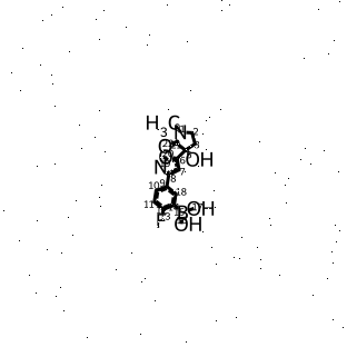 CN1CC[C@@](O)(c2cc(-c3ccc(F)c(B(O)O)c3)no2)C1=O